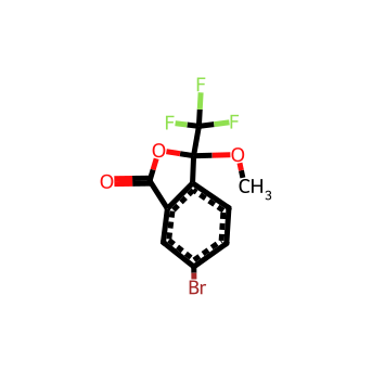 COC1(C(F)(F)F)OC(=O)c2cc(Br)ccc21